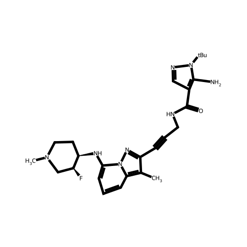 Cc1c(C#CCNC(=O)c2cnn(C(C)(C)C)c2N)nn2c(N[C@@H]3CCN(C)C[C@@H]3F)cccc12